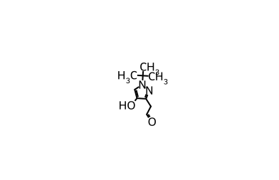 CC(C)(C)n1cc(O)c(CC=O)n1